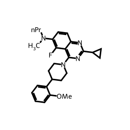 CCCN(C)c1ccc2nc(C3CC3)nc(N3CCC(c4ccccc4OC)CC3)c2c1F